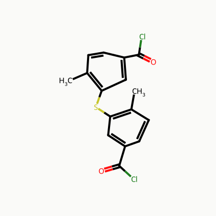 Cc1ccc(C(=O)Cl)cc1Sc1cc(C(=O)Cl)ccc1C